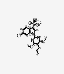 CCCc1c(OC)nc(-n2cc(S(N)(=O)=O)c3ccc(Cl)cc32)nc1OC